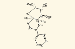 CO[C@H]1O[C@@H]2COC(c3ccccc3)O[C@@H]2[C@H](OC(C)=O)[C@H]1O